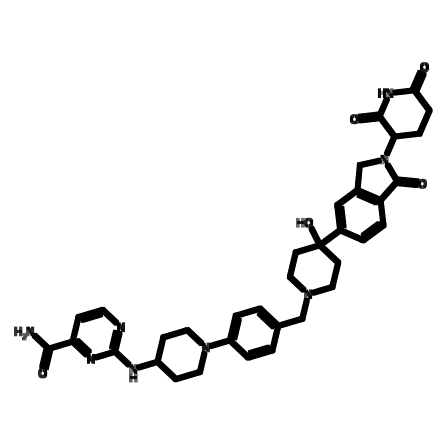 NC(=O)c1ccnc(NC2CCN(c3ccc(CN4CCC(O)(c5ccc6c(c5)CN(C5CCC(=O)NC5=O)C6=O)CC4)cc3)CC2)n1